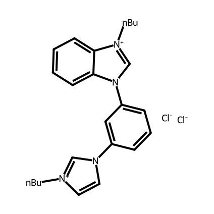 CCCC[n+]1ccn(-c2cccc(-n3c[n+](CCCC)c4ccccc43)c2)c1.[Cl-].[Cl-]